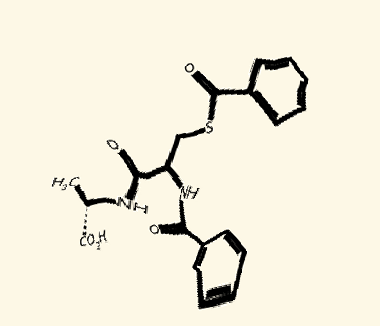 C[C@H](NC(=O)C(CSC(=O)c1ccccc1)NC(=O)c1ccccc1)C(=O)O